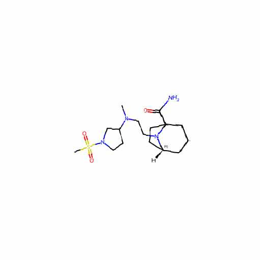 CN(CCN1[C@@H]2C[CH]CC1(C(N)=O)CC2)C1CCN(S(C)(=O)=O)C1